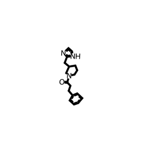 O=C(CCc1ccccc1)N1CCCC(Cc2ncc[nH]2)C1